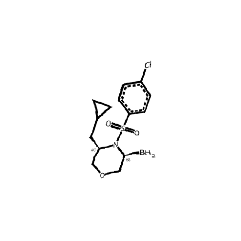 B[C@H]1COC[C@@H](CC2CC2)N1S(=O)(=O)c1ccc(Cl)cc1